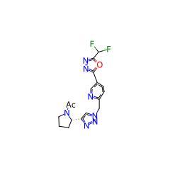 CC(=O)N1CCC[C@H]1c1cn(Cc2ccc(-c3nnc(C(F)F)o3)cn2)nn1